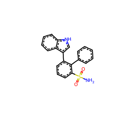 NS(=O)(=O)c1cccc(-c2c[nH]c3ccccc23)c1-c1ccccc1